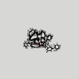 c1ccc(-c2cccc(-c3nc(-c4ccccc4)nc(-n4c5ccccc5c5ccc6c7ccccc7n(-c7ccccc7-c7cc(-c8ccccc8)nc(-c8ccccc8)n7)c6c54)n3)c2)cc1